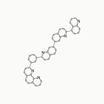 c1cc(-c2ccc3ccc(-c4ccc5ccc(-c6cccc7ncccc67)nc5c4)cc3n2)cc(-c2ccc3ccc4cccnc4c3n2)c1